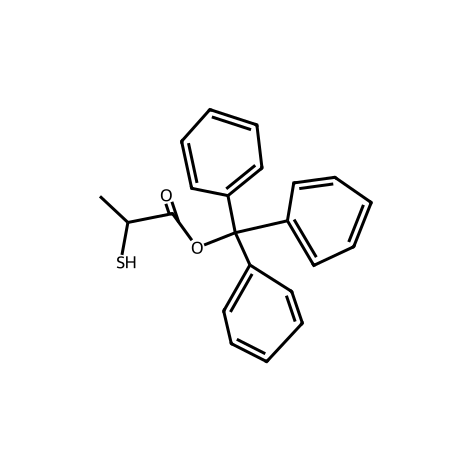 CC(S)C(=O)OC(c1ccccc1)(c1ccccc1)c1ccccc1